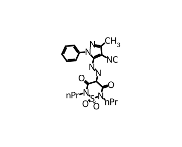 [C-]#[N+]c1c(C)nn(-c2ccccc2)c1N=NC1C(=O)N(CCC)S(=O)(=O)N(CCC)C1=O